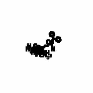 C[Si](C)(C)O[Si](C)(CCCCC(=O)/C(C#N)=C\C=C(c1ccccc1)c1ccccc1)O[Si](C)(C)C